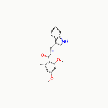 COc1cc(C)c(C(=O)/C=C/c2c[nH]c3ccccc23)c(OC)c1